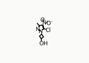 Cc1nn(C2CC(O)C2)c(Cl)c1[N+](=O)[O-]